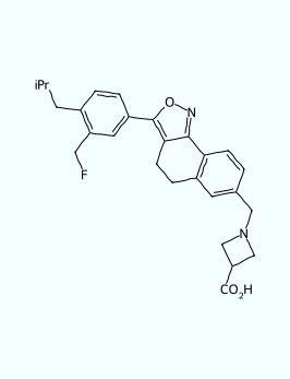 CC(C)Cc1ccc(-c2onc3c2CCc2cc(CN4CC(C(=O)O)C4)ccc2-3)cc1CF